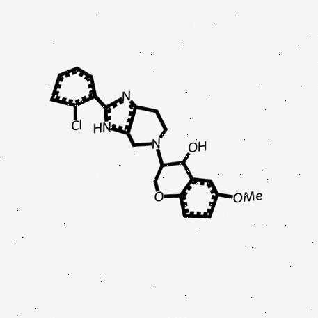 COc1ccc2c(c1)C(O)C(N1CCc3nc(-c4ccccc4Cl)[nH]c3C1)CO2